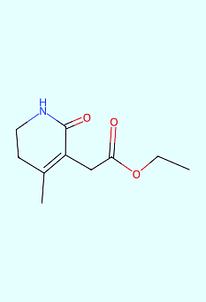 CCOC(=O)CC1=C(C)CCNC1=O